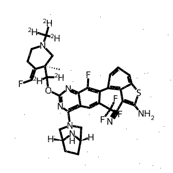 [2H]C([2H])([2H])N1CC/C(=C\F)[C@](C)(C([2H])([2H])Oc2nc(N3C[C@H]4CC[C@@H](C3)N4)c3cc(C(F)(F)F)c(-c4cccc5sc(N)c(C#N)c45)c(F)c3n2)C1